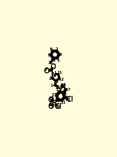 O=C(OCc1ccccc1)N1CCC(Cn2ncc3c(Cl)cc(S(=O)(=O)Cl)cc32)C1